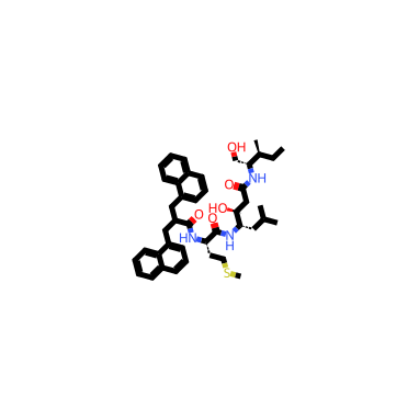 CC[C@H](C)[C@@H](CO)NC(=O)C[C@H](O)[C@H](CC(C)C)NC(=O)[C@H](CCSC)NC(=O)C(Cc1cccc2ccccc12)Cc1cccc2ccccc12